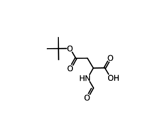 CC(C)(C)OC(=O)CC(NC=O)C(=O)O